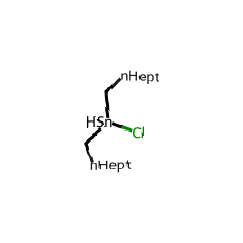 CCCCCCC[CH2][SnH]([Cl])[CH2]CCCCCCC